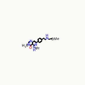 COCCNCCc1ccc(-c2cc3ncn(C)c(=O)c3c(NC(C)C)n2)cc1